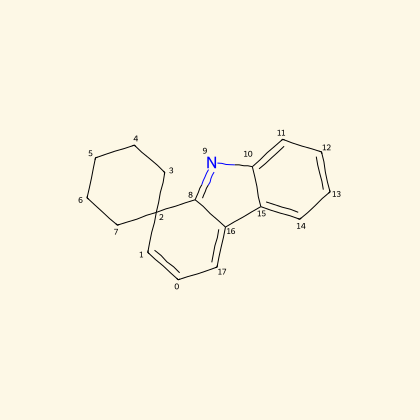 C1=CC2(CCCCC2)C2=Nc3ccccc3C2=C1